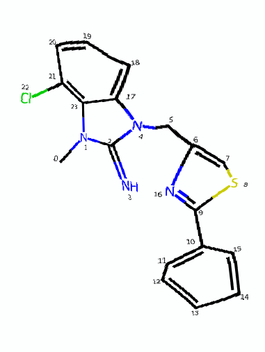 Cn1c(=N)n(Cc2csc(-c3ccccc3)n2)c2cccc(Cl)c21